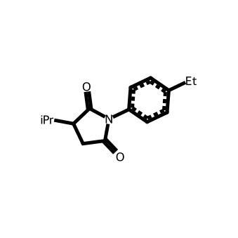 CCc1ccc(N2C(=O)CC(C(C)C)C2=O)cc1